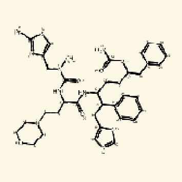 CC(C)c1nc(CN(C)C(=O)NC(CCN2CCOCC2)C(=O)NC(CCC(Cc2ccccc2)OC(N)=O)C(Cc2cncs2)c2ccccc2)cs1